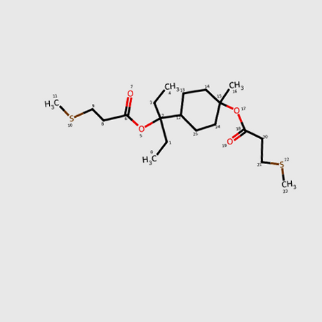 CCC(CC)(OC(=O)CCSC)C1CCC(C)(OC(=O)CCSC)CC1